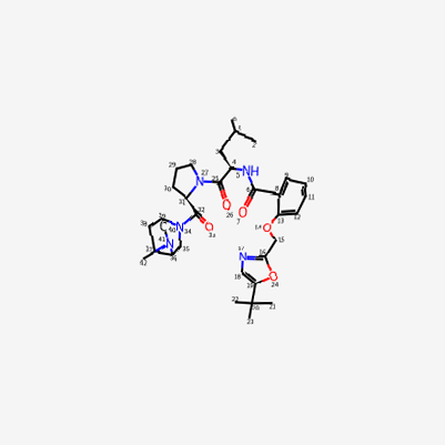 CC(C)C[C@@H](NC(=O)c1ccccc1OCc1ncc(C(C)(C)C)o1)C(=O)N1CCC[C@@H]1C(=O)N1CC2CCC1CN2C